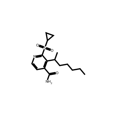 CCCCCC(C)c1c(C(N)=O)ccnc1S(=O)(=O)C1CC1